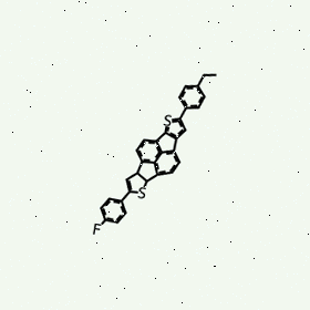 CCc1ccc(-c2cc3c(s2)-c2ccc4c5c(ccc-3c25)C2SC(c3ccc(F)cc3)=CC42)cc1